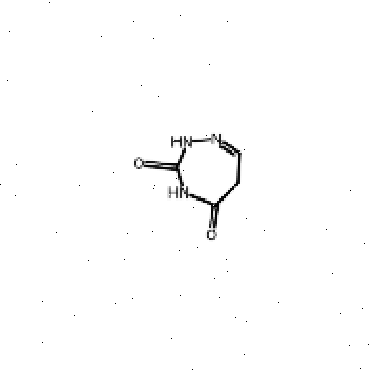 O=C1CC=NNC(=O)N1